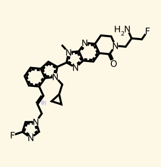 Cn1c(-c2cc3cccc(/C=C/Cn4cnc(F)c4)c3n2CC2CC2)nc2cc3c(nc21)CCN(CC(N)CF)C3=O